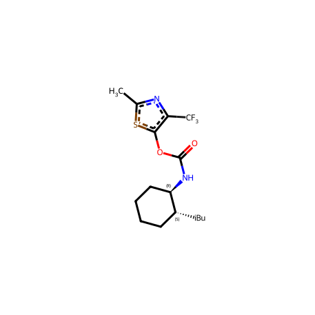 CCC(C)[C@@H]1CCCC[C@H]1NC(=O)Oc1sc(C)nc1C(F)(F)F